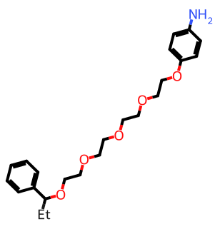 CCC(OCCOCCOCCOCCOc1ccc(N)cc1)c1ccccc1